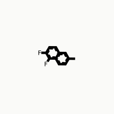 Cc1ccc2c(F)c(F)ccc2c1